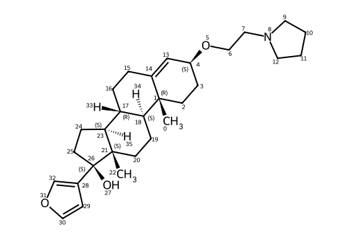 C[C@]12CC[C@H](OCCN3CCCC3)C=C1CC[C@@H]1[C@@H]2CC[C@@]2(C)[C@H]1CC[C@@]2(O)c1ccoc1